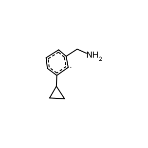 NCc1[c]c(C2CC2)ccc1